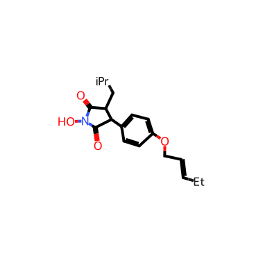 CCC=CCOc1ccc(C2C(=O)N(O)C(=O)C2CC(C)C)cc1